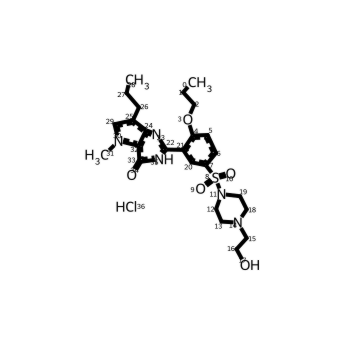 CCCOc1ccc(S(=O)(=O)N2CCN(CCO)CC2)cc1-c1nc2c(CCC)cn(C)c2c(=O)[nH]1.Cl